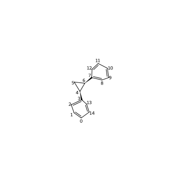 c1ccc([C@H]2C[C@H]2c2ccccc2)cc1